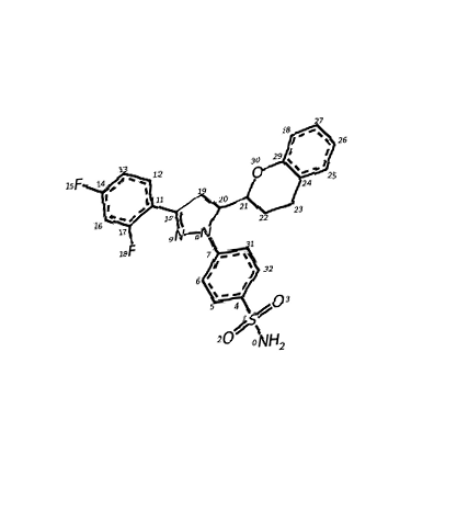 NS(=O)(=O)c1ccc(N2N=C(c3ccc(F)cc3F)CC2C2CCc3ccccc3O2)cc1